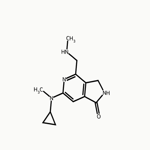 CNCc1nc(N(C)C2CC2)cc2c1CNC2=O